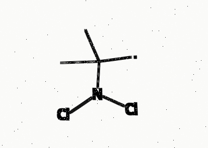 [CH2]C(C)(C)N(Cl)Cl